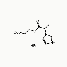 Br.CCCCCCCCCCOC(=O)C(C)N1C=CNC1